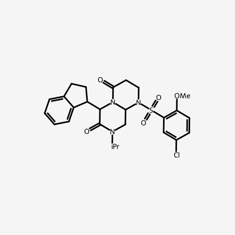 COc1ccc(Cl)cc1S(=O)(=O)N1CCC(=O)N2C(C3CCc4ccccc43)C(=O)N(C(C)C)CC21